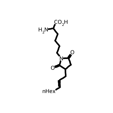 CCCCCCC=CCC1CC(=O)N(CCCCC(N)C(=O)O)C1=O